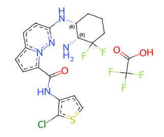 N[C@@H]1[C@H](Nc2ccc3ccc(C(=O)Nc4ccsc4Cl)n3n2)CCCC1(F)F.O=C(O)C(F)(F)F